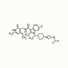 CSc1cc(C)[nH]c(=O)c1CNC(=O)c1c(C)n(C(C)C2CCC(N3CC(OC(F)F)C3)CC2)c2cc(F)ccc12